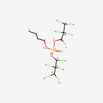 CCCCOP(=O)(OC(F)C(F)(F)C(F)F)OC(F)C(F)(F)C(F)F